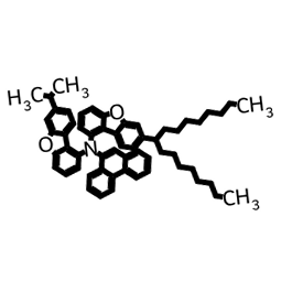 CCCCCCCCC(CCCCCCCC)c1ccc2c(c1)oc1cccc(N(c3cc4ccccc4c4ccccc34)c3cccc4oc5cc(C(C)C)ccc5c34)c12